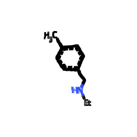 [CH2]CNCc1ccc(C)cc1